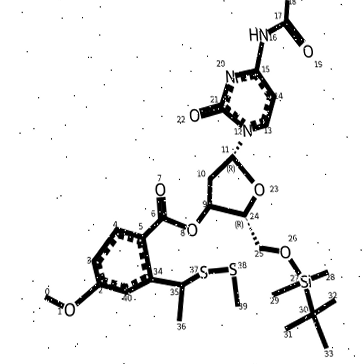 COc1ccc(C(=O)OC2C[C@H](n3ccc(NC(C)=O)nc3=O)O[C@@H]2CO[Si](C)(C)C(C)(C)C)c(C(C)SSC)c1